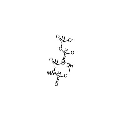 CO.O=[PH]([O-])O[PH](=O)[O-].O=[PH]([O-])O[PH](=O)[O-].[Mo+4]